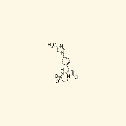 Cc1cn(-c2ccc(-c3cc(Cl)n4c3NS(=O)(=O)CC4)cc2)cn1